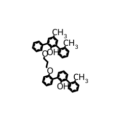 Cc1cc(-c2ccccc2C)c(O)c(-c2ccccc2OCCCOc2ccccc2-c2cccc(-c3ccccc3C)c2O)c1